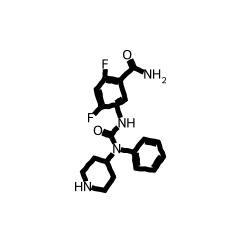 NC(=O)c1cc(NC(=O)N(c2ccccc2)C2CCNCC2)c(F)cc1F